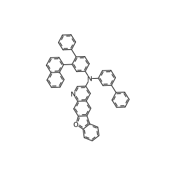 c1ccc(-c2cccc(N(c3ccc(-c4ccccc4)c(-c4cccc5ccccc45)c3)c3cnc4cc5oc6ccccc6c5cc4c3)c2)cc1